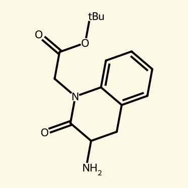 CC(C)(C)OC(=O)CN1C(=O)C(N)Cc2ccccc21